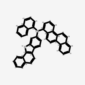 c1ccc2c(N(c3ccc4c(c3)oc3c5ccccc5ccc43)c3cccc4c3ccc3c5ccccc5ccc43)cccc2c1